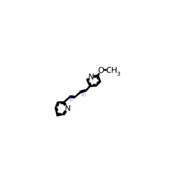 COc1ccc(/C=C/C=C/c2ccccn2)cn1